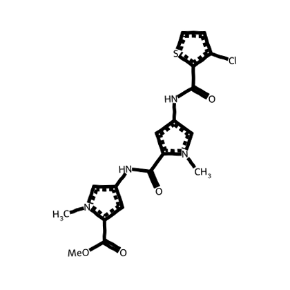 COC(=O)c1cc(NC(=O)c2cc(NC(=O)c3sccc3Cl)cn2C)cn1C